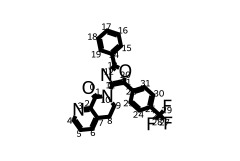 O=C1c2ncccc2CCN1c1nc(-c2ccccc2)oc1-c1ccc(C(F)(F)F)cc1